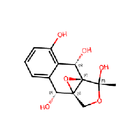 C[C@@]1(O)OC[C@@]23O[C@]21[C@@H](O)c1c(O)cccc1[C@H]3O